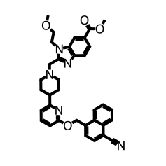 COCCn1c(CN2CCC(c3cccc(OCc4ccc(C#N)c5ccccc45)n3)CC2)nc2ccc(C(=O)OC)cc21